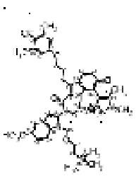 Cc1cc(OCCCc2c3n(c4c(-c5c(C)nn(C)c5C)c(Cl)ccc24)[C@H](C)CN(c2cc4cc(C(=O)O)ccc4n2COCC[Si](C)(C)C)C3=O)cc(C)c1Cl